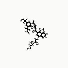 CCC[C@@H](NC(=O)c1cc(OCC(=O)NCCOC)c2ccccc2c1O)Oc1ccc(C(C)(C)CC)cc1C(C)(C)CC